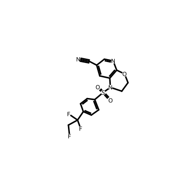 N#Cc1cnc2c(c1)N(S(=O)(=O)c1ccc(C(F)(F)CF)cc1)CCO2